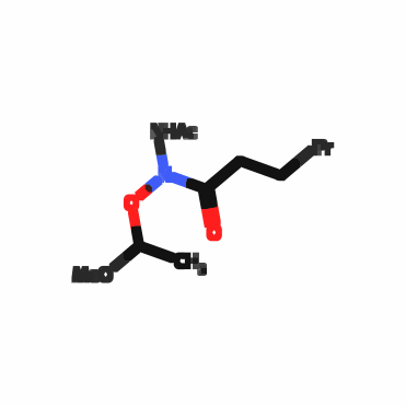 COC(C)ON(NC(C)=O)C(=O)CCC(C)C